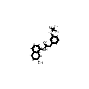 O=C(Cc1cccc(OC(F)(F)F)c1)Nc1cccc2c1C[C@H](O)CC2